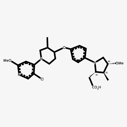 COc1cc(N2CCC(Oc3ccc(N4C[C@H](OC)[C@@H](C)[C@@H]4CC(=O)O)cc3)C(C)C2)c(Cl)cn1